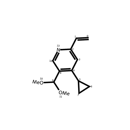 C=Cc1cc(C2CC2)c(C(OC)OC)cn1